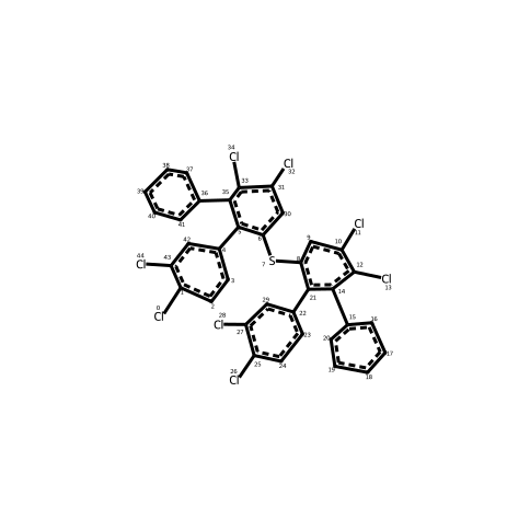 Clc1ccc(-c2c(Sc3cc(Cl)c(Cl)c(-c4ccccc4)c3-c3ccc(Cl)c(Cl)c3)cc(Cl)c(Cl)c2-c2ccccc2)cc1Cl